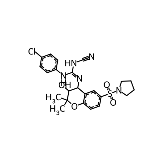 CC1(C)Oc2ccc(S(=O)(=O)N3CCCC3)cc2C(/N=C(/NC#N)Nc2ccc(Cl)cc2)C1O